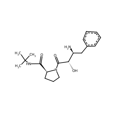 CC(C)(C)NC(=O)[C@@H]1CCCN1C(=O)[C@@H](O)[C@@H](N)Cc1ccccc1